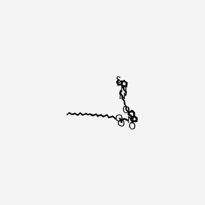 CCCCCCCCCCCCCCCCCCCOC(=O)CCn1c(=O)ccc2ccc(OCCCCN3CCN(c4cccc5sccc45)CC3)cc21